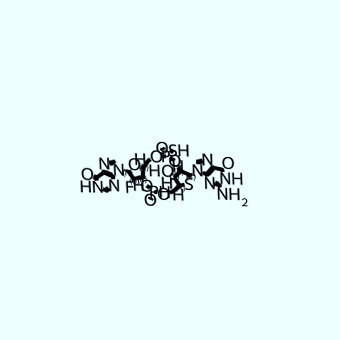 Nc1nc2c(ncn2[C@@H]2S[C@@H]3CO[PH](=O)O[C@H]4[C@H](F)[C@H](n5cnc6c(=O)[nH]cnc65)O[C@@H]4COP(=O)(S)O[C@@H]2[C@@H]3O)c(=O)[nH]1